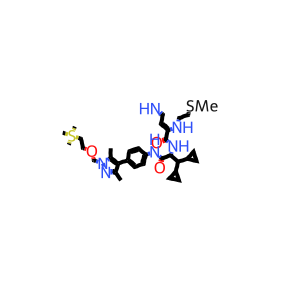 CSCCN/C(=C\C=N)C(=O)NC(C(=O)Nc1ccc(-c2c(C)nn(COCCS(C)(C)C)c2C)cc1)C(C1CC1)C1CC1